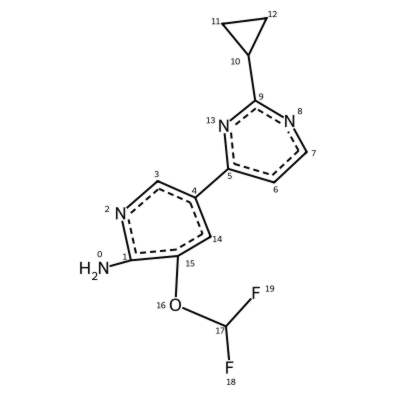 Nc1ncc(-c2ccnc(C3CC3)n2)cc1OC(F)F